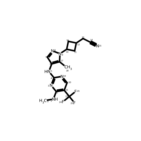 CNc1nc(Nc2cnn(C3CC(CC#N)C3)c2C)ncc1C(F)(F)F